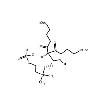 CCCCCCCCCCCCCC(=O)C(O)(C(=O)CCCCCCCCCCCCC)[C@@H](O)CO.C[N+](C)(C)CCOP(=O)([O-])O